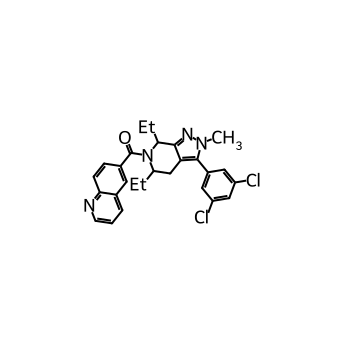 CCC1Cc2c(nn(C)c2-c2cc(Cl)cc(Cl)c2)C(CC)N1C(=O)c1ccc2ncccc2c1